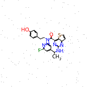 CC(Nc1nc(C(=O)NCCc2ccc(O)cc2)c2sccc2n1)c1ccnc(F)c1